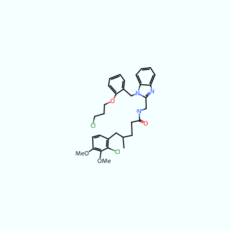 COc1ccc(CC(C)CCC(=O)[N]Cc2nc3ccccc3n2Cc2ccccc2OCCCCl)c(Cl)c1OC